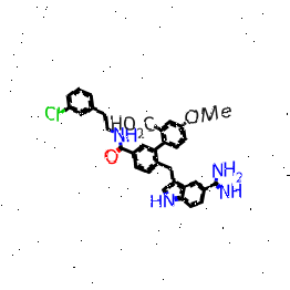 COc1ccc(-c2cc(C(=O)NCCc3cccc(Cl)c3)ccc2Cc2c[nH]c3ccc(C(=N)N)cc23)c(C(=O)O)c1